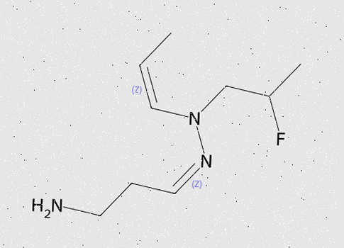 C/C=C\N(CC(C)F)/N=C\CCN